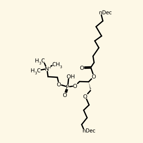 CCCCCCCCCCCCCCCCCC(=O)O[C@H](COCCCCCCCCCCCCCC)COP(=O)(O)OCC[N+](C)(C)C